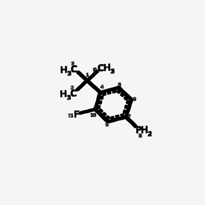 CC(C)(C)c1ccc(P)cc1F